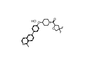 Cc1nccc2cc(-c3ccc(OC4CCN(C(=O)C5CC(F)(F)CO5)CC4)cc3)ccc12.Cl